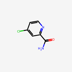 NC(=O)c1cc(Cl)[c]cn1